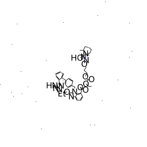 CCOc1nc2cccc(C(=O)OC(C)OC(=O)OCCCO/N=[N+](\O)N3CCCCC3C)c2n1Cc1ccc(-c2ccccc2-c2nnn[nH]2)cc1